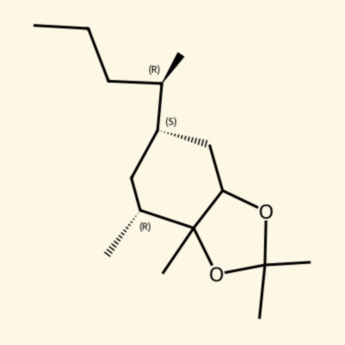 CCC[C@@H](C)[C@@H]1CC2OC(C)(C)OC2(C)[C@H](C)C1